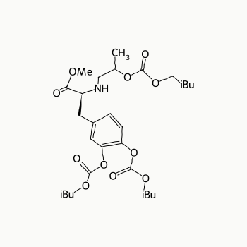 CCC(C)COC(=O)OC(C)CN[C@@H](Cc1ccc(OC(=O)OC(C)CC)c(OC(=O)OC(C)CC)c1)C(=O)OC